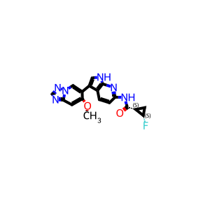 COc1cc2ncnn2cc1-c1c[nH]c2nc(NC(=O)[C@@H]3C[C@@H]3F)ccc12